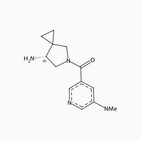 CNc1cncc(C(=O)N2C[C@H](N)C3(CC3)C2)c1